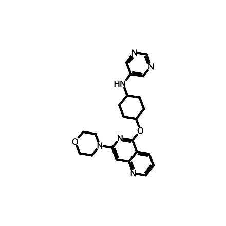 c1cnc2cc(N3CCOCC3)nc(OC3CCC(Nc4cncnc4)CC3)c2c1